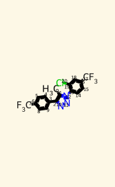 Cc1c(-c2ccc(C(F)(F)F)cc2)nnn1-c1ccc(C(F)(F)F)cc1Cl